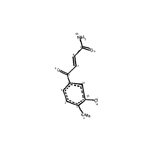 COc1ccc(C(=O)C=CC(N)=O)cc1Cl